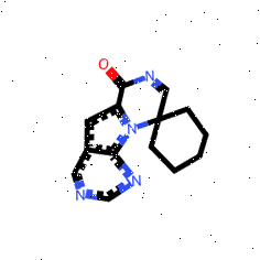 O=C1N=CC2(CCCCC2)n2c1cc1cncnc12